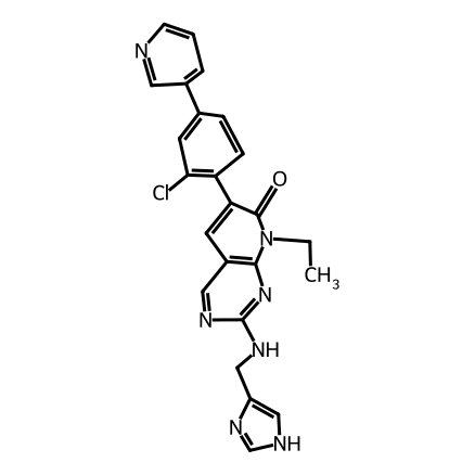 CCn1c(=O)c(-c2ccc(-c3cccnc3)cc2Cl)cc2cnc(NCc3c[nH]cn3)nc21